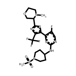 CN1CCOCC1c1nc(C(F)(F)F)c(-c2nc(NC3CCN(S(C)(=O)=O)CC3)ncc2F)s1